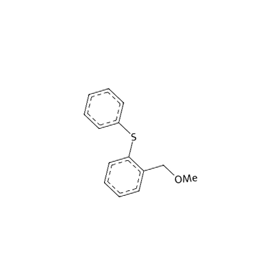 COCc1ccccc1Sc1ccccc1